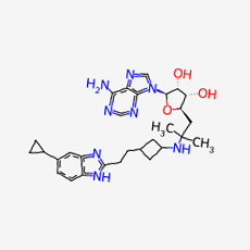 CC(C)(C[C@H]1O[C@@H](n2cnc3c(N)ncnc32)[C@H](O)[C@@H]1O)NC1CC(CCc2nc3cc(C4CC4)ccc3[nH]2)C1